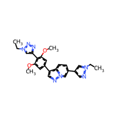 CCn1cc(-c2ccc3c(-c4cc(OC)c(-c5cn(CC)nn5)c(OC)c4)cnn3c2)cn1